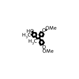 COCOc1ccc(C(=C(C)c2ccc(O)c(C)c2)c2ccc(OCOC)cc2)cc1